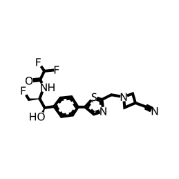 N#CC1CN(Cc2ncc(-c3ccc([C@@H](O)[C@@H](CF)NC(=O)C(F)F)cc3)s2)C1